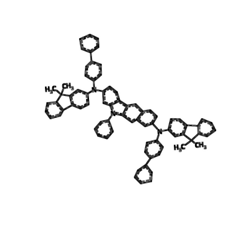 CC1(C)c2ccccc2-c2ccc(N(c3ccc(-c4ccccc4)cc3)c3ccc4cc5c6ccc(N(c7ccc(-c8ccccc8)cc7)c7ccc8c(c7)C(C)(C)c7ccccc7-8)cc6n(-c6ccccc6)c5cc4c3)cc21